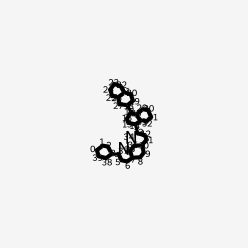 c1ccc(-c2ccc3ccc4ccc(-c5ccc(-c6ccc7ccccc7c6)c6ccccc56)nc4c3n2)cc1